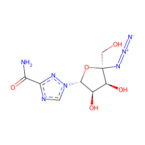 [N-]=[N+]=N[C@]1(CO)O[C@@H](n2cnc(C(N)=O)n2)[C@H](O)[C@@H]1O